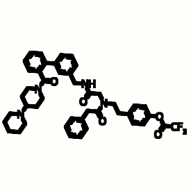 O=C(CN(CCc1ccc(OC(=O)C(F)(F)F)cc1)C(=O)Cc1ccccc1)NCc1cccc(-c2ccccc2C(=O)N2CCC(N3CCCCC3)CC2)c1